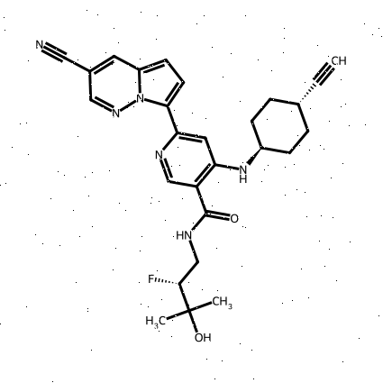 C#C[C@H]1CC[C@H](Nc2cc(-c3ccc4cc(C#N)cnn34)ncc2C(=O)NC[C@@H](F)C(C)(C)O)CC1